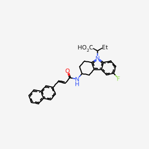 CCC(C(=O)O)n1c2c(c3cc(F)ccc31)CC(NC(=O)C=Cc1ccc3ccccc3c1)CC2